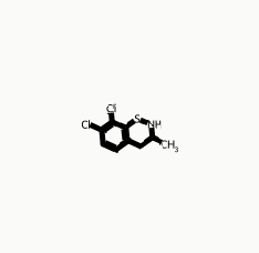 CC1Cc2ccc(Cl)c(Cl)c2SN1